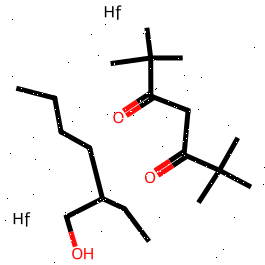 CC(C)(C)C(=O)CC(=O)C(C)(C)C.CCCCC(CC)CO.[Hf].[Hf]